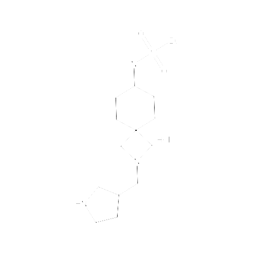 CCS(=O)(=O)NC1CCC2(CC1)CN(CC1CCNC1)C2.Cl